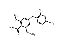 COc1cc(Cc2cnc(N)nc2N)cc(OC)c1C(N)=O